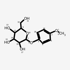 COc1ccc(OC2OC(CO)C(O)C(O)C2O)cc1